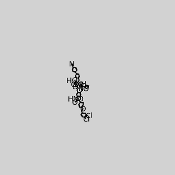 N#Cc1ccc(-c2ccc(CC(NC(=O)C3Cc4cc5c(cc4CN3C(=O)c3ccco3)OC(c3ccc(OCc4ccc(Cl)c(Cl)c4)cc3)C(=O)N5)C(=O)O)cc2)cc1